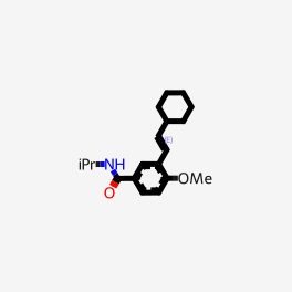 COc1ccc(C(=O)NC(C)C)cc1/C=C/C1CCCCC1